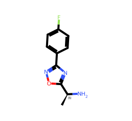 C[C@H](N)c1nc(-c2ccc(F)cc2)no1